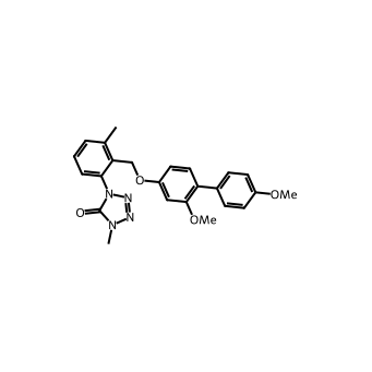 COc1ccc(-c2ccc(OCc3c(C)cccc3-n3nnn(C)c3=O)cc2OC)cc1